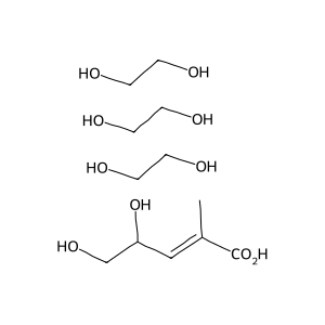 CC(=CC(O)CO)C(=O)O.OCCO.OCCO.OCCO